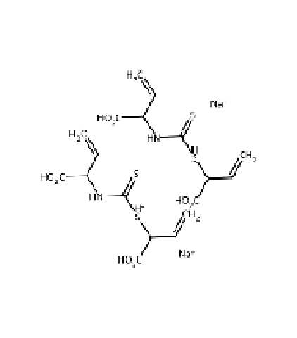 C=CC(NC(=S)[SH-]C(C=C)C(=O)O)C(=O)O.C=CC(NC(=S)[SH-]C(C=C)C(=O)O)C(=O)O.[Na+].[Na+]